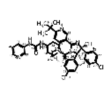 CCOc1cc(C(C)(C)C)ncc1C1=N[C@](C)(c2ccc(Cl)cc2)[C@@](C)(c2ccc(Cl)cc2)N1C(=O)N1CCC(NC(=O)Nc2cccnc2)CC1